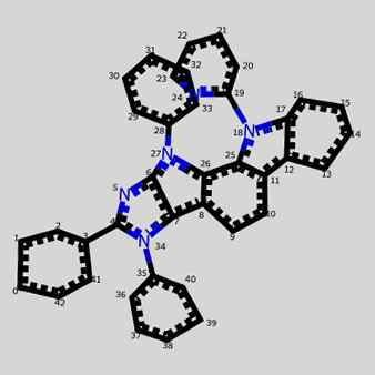 c1ccc(-c2nc3c(c4ccc5c6ccccc6n(-c6ccccn6)c5c4n3-c3ccccc3)n2-c2ccccc2)cc1